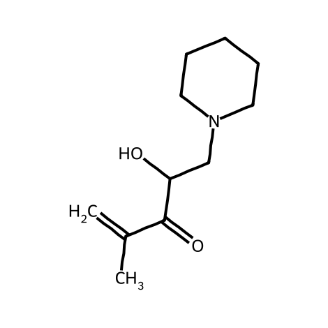 C=C(C)C(=O)C(O)CN1CCCCC1